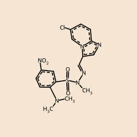 CN(C)c1ccc([N+](=O)[O-])cc1S(=O)(=O)N(C)N=Cc1cnc2ccc(Cl)cn12